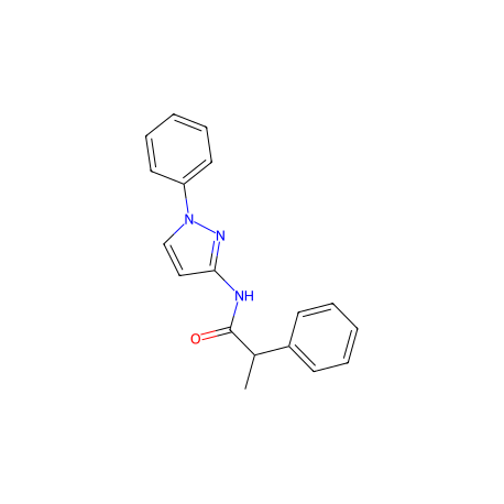 CC(C(=O)Nc1ccn(-c2ccccc2)n1)c1ccccc1